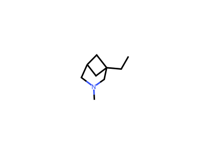 CCC12CC(CN(C)C1)C2